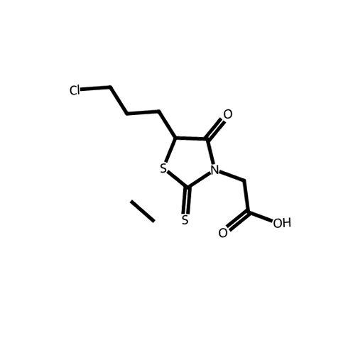 CC.O=C(O)CN1C(=O)C(CCCCl)SC1=S